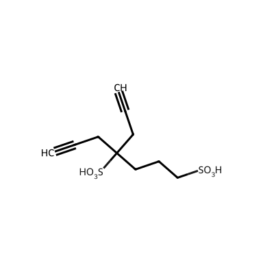 C#CCC(CC#C)(CCCS(=O)(=O)O)S(=O)(=O)O